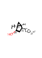 O=C(O)[C@H]1C[C@@H](O)[C@H]2C[C@H]21